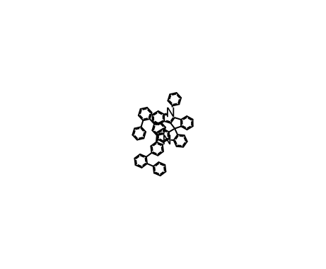 c1ccc(-c2ccccc2-c2ccc3c(c2)c2cc(-c4ccccc4-c4ccccc4)ccc2n3-c2ccccc2C2(c3ccccc3)c3ccccc3-c3c2c2ccccc2n3-c2ccccc2)cc1